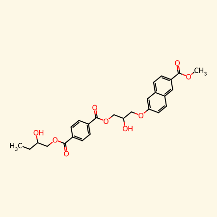 CCC(O)COC(=O)c1ccc(C(=O)OCC(O)COc2ccc3cc(C(=O)OC)ccc3c2)cc1